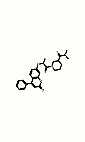 CC(Oc1ccc2c(-c3ccccc3)cc(=O)oc2c1)C(=O)N1CCCC(C(=O)N(C)C)C1